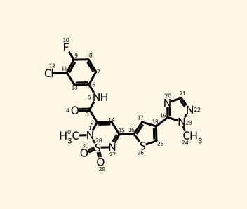 CN1C(C(=O)Nc2ccc(F)c(Cl)c2)=CC(c2cc(-c3ncnn3C)cs2)=NS1(=O)=O